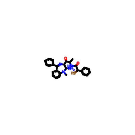 CC(NC(=O)C(S)c1ccccc1)C(=O)C1N=C(c2ccccc2)c2ccccc2N(C)[C@@H]1N